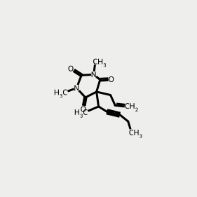 C=CCC1(C(C)C#CCC)C(=O)N(C)C(=O)N(C)C1=O